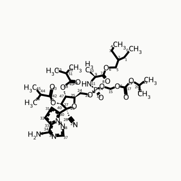 CCC(CC)COC(=O)[C@H](C)N[P@@](=O)(OCOC(=O)OC(C)C)OC[C@H]1O[C@@](C#N)(c2ccc3c(N)ncnn23)[C@H](OC(=O)C(C)C)[C@@H]1OC(=O)C(C)C